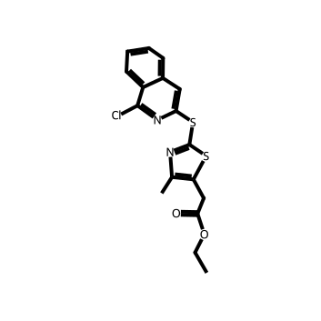 CCOC(=O)Cc1sc(Sc2cc3ccccc3c(Cl)n2)nc1C